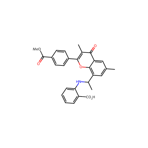 COC(=O)c1ccc(-c2oc3c(C(C)Nc4ccccc4C(=O)O)cc(C)cc3c(=O)c2C)cc1